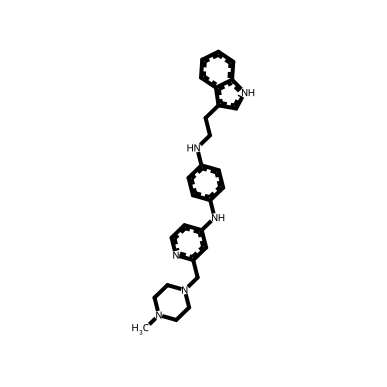 CN1CCN(Cc2cc(Nc3ccc(NCCc4c[nH]c5ccccc45)cc3)ccn2)CC1